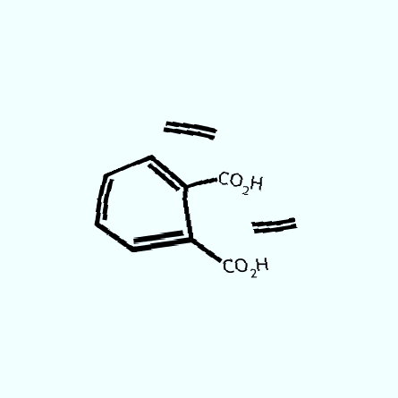 C=C.C=C.O=C(O)c1ccccc1C(=O)O